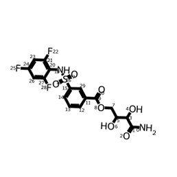 NC(=O)C(O)C(O)COC(=O)c1cccc(S(=O)(=O)Nc2c(F)cc(F)cc2F)c1